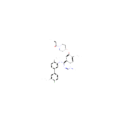 C=CC(=O)N1CCC(OC2=C/C(=C(/N=C\N=C)Nc3cc(-c4ccc(F)c(NC(C)=O)c4)ccc3OC)CC=C2OC)CC1